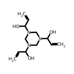 C=CC(O)N1CN(C(O)C=C)CN(C(O)C=C)C1